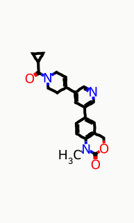 CN1C(=O)OCc2cc(-c3cncc(C4=CCN(C(=O)C5CC5)CC4)c3)ccc21